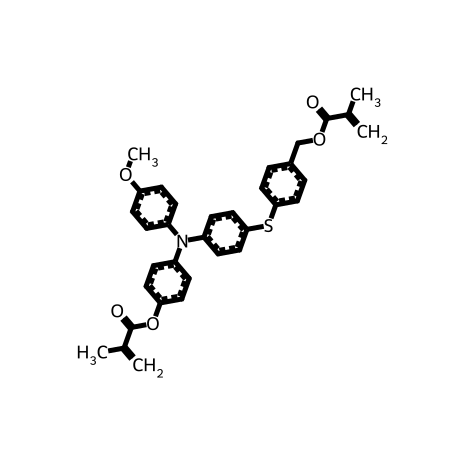 C=C(C)C(=O)OCc1ccc(Sc2ccc(N(c3ccc(OC)cc3)c3ccc(OC(=O)C(=C)C)cc3)cc2)cc1